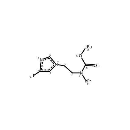 CCCN(CCn1cnc(I)c1)C(=O)OC(C)(C)C